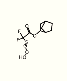 O=C(OC1CC2CCC1C2)C(F)(F)SOOO